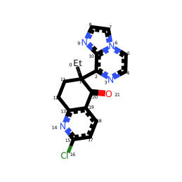 CCC1(c2nccn3ccnc23)CCc2nc(Cl)ccc2C1=O